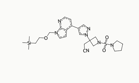 C[Si](C)(C)CCOCn1ccc2c(-c3cnn(C4(CC#N)CN(S(=O)(=O)N5CCCC5)C4)c3)ccnc21